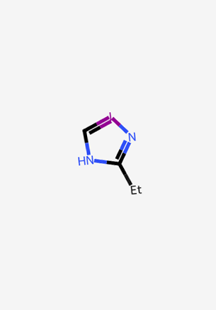 CCC1=NI=CN1